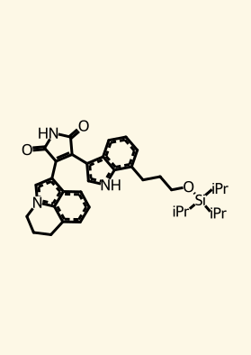 CC(C)[Si](OCCCc1cccc2c(C3=C(c4cn5c6c(cccc46)CCC5)C(=O)NC3=O)c[nH]c12)(C(C)C)C(C)C